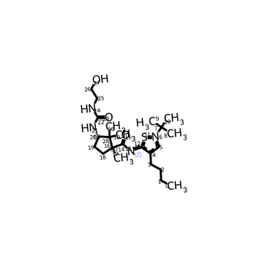 CCCCc1cn(C(C)(C)C)s/c1=N\C(=O)[C@]1(C)CC[C@H](NC(=O)NCCO)C1(C)C